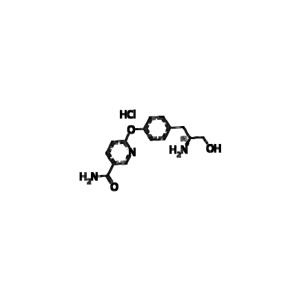 Cl.NC(=O)c1ccc(Oc2ccc(C[C@H](N)CO)cc2)nc1